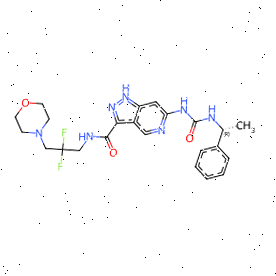 C[C@@H](NC(=O)Nc1cc2[nH]nc(C(=O)NCC(F)(F)CN3CCOCC3)c2cn1)c1ccccc1